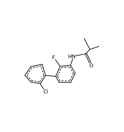 CC(C)C(=O)Nc1cccc(-c2ccccc2Cl)c1F